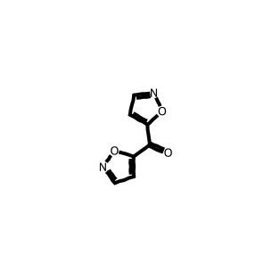 O=C(c1ccno1)c1ccno1